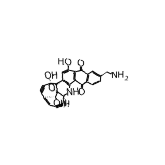 C[C@@H](O)[C@@]12O[C@]13c1cc(O)c4c(c1N[C@H]2C#C/C=C\C#C[C@@H]3O)C(=O)c1ccc(CN)cc1C4=O